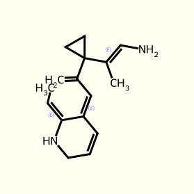 C=C(/C=C1/C=CCN/C1=C/C)C1(/C(C)=C/N)CC1